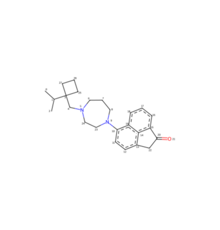 CC(C)C1(CN2CCCN(c3ccc4c5c(cccc35)C(=O)C4)CC2)CCC1